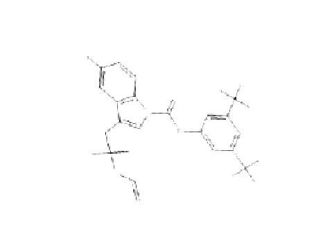 C=COC(C)(C)Cc1cn(C(=O)Nc2cc(C(F)(F)F)cc(C(F)(F)F)c2)c2ccc(F)cc12